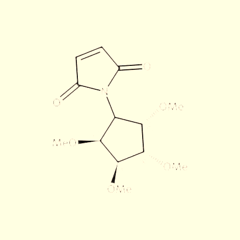 CO[C@@H]1[C@@H](OC)[C@@H](OC)C(N2C(=O)C=CC2=O)[C@@H]1OC